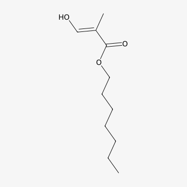 CCCCCCCOC(=O)C(C)=CO